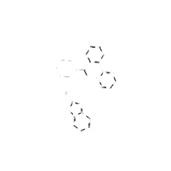 Cc1cc(-c2ncccn2)c(C(=O)N2CCC[C@@H](C)[C@H]2CNc2nc3ccc(Cl)cc3o2)cc1F